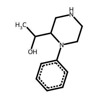 CC(O)C1CNCCN1c1ccccc1